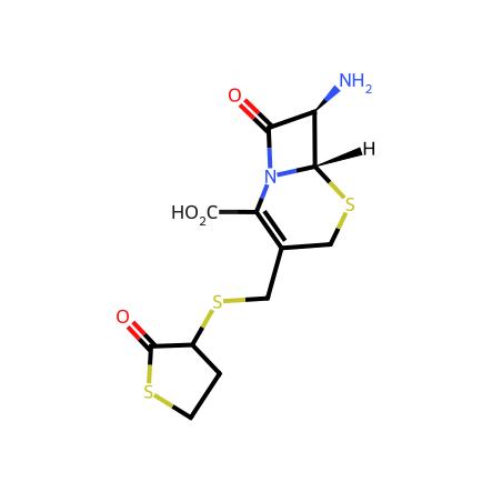 N[C@@H]1C(=O)N2C(C(=O)O)=C(CSC3CCSC3=O)CS[C@@H]12